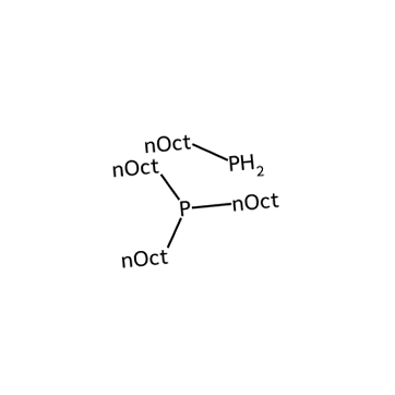 CCCCCCCCP.CCCCCCCCP(CCCCCCCC)CCCCCCCC